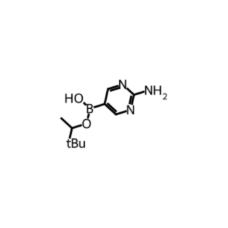 CC(OB(O)c1cnc(N)nc1)C(C)(C)C